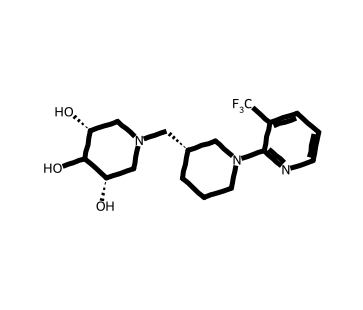 OC1[C@H](O)CN(C[C@H]2CCCN(c3ncccc3C(F)(F)F)C2)C[C@@H]1O